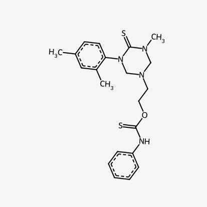 Cc1ccc(N2CN(CCOC(=S)Nc3ccccc3)CN(C)C2=S)c(C)c1